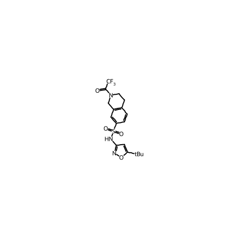 CC(C)(C)c1cc(NS(=O)(=O)c2ccc3c(c2)CN(C(=O)C(F)(F)F)CC3)no1